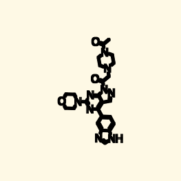 CC(=O)N1CCN(CC(=O)n2ncc3c(-c4ccc5[nH]cnc5c4)nc(N4CCOCC4)nc32)CC1